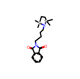 C[Si]1(C)CC[Si](C)(C)N1CCCCN1C(=O)c2ccccc2C1=O